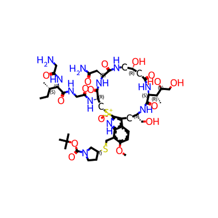 CC[C@H](C)[C@H](NC(=O)CN)C(=O)NCC(=O)N[C@H]1C[S+]([O-])c2[nH]c3c(CS[C@@H]4CCN(C(=O)OC(C)(C)C)C4)c(OC)ccc3c2C[C@@H](CO)NC(=O)[C@H]([C@@H](C)[C@@H](O)CO)NC(=O)C[C@@H](O)CNC(=O)[C@H](CC(N)=O)NC1=O